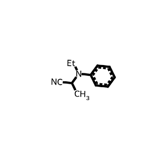 CCN(c1ccccc1)C(C)C#N